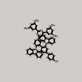 CC(C)(C)c1cc(-c2nc(-c3cc(C(C)(C)C)cc(C(C)(C)C)c3)nc(-c3ccc(-n4c5ccccc5c5ccccc54)c(-c4ccc(-c5ccc(C#N)cc5)cc4-n4c5ccccc5c5ccccc54)c3)n2)cc(C(C)(C)C)c1